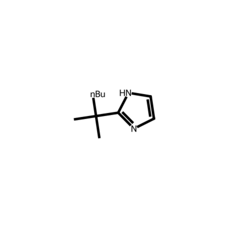 CCCCC(C)(C)c1ncc[nH]1